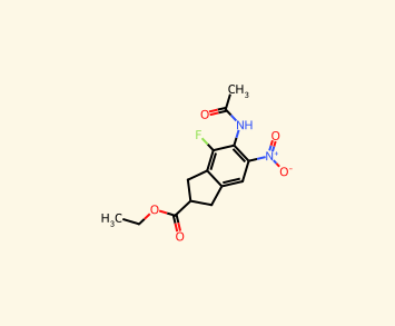 CCOC(=O)C1Cc2cc([N+](=O)[O-])c(NC(C)=O)c(F)c2C1